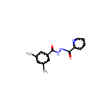 Cc1cc(C)cc(C(=O)NNC(=O)c2ccccn2)c1